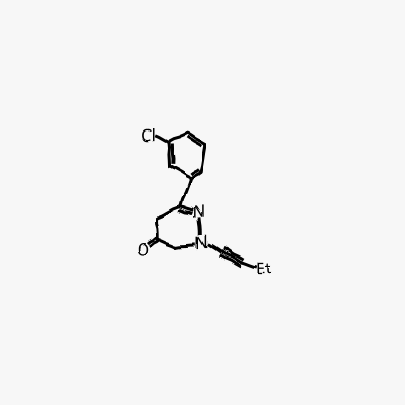 CCC#CN1CC(=O)CC(c2cccc(Cl)c2)=N1